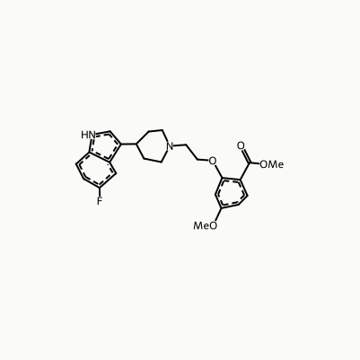 COC(=O)c1ccc(OC)cc1OCCN1CCC(c2c[nH]c3ccc(F)cc23)CC1